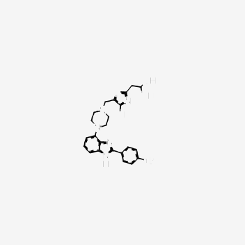 Cc1nc(CC(C)O)sc1CN1CCN(c2cccc3[nH]c(-c4ccc(C(C)(C)C)cc4)nc23)CC1